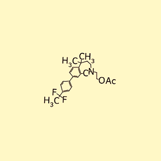 CC(=O)OCCN1CCC(C)(C)c2ccc(-c3ccc(C(C)(F)F)cc3)cc2C1